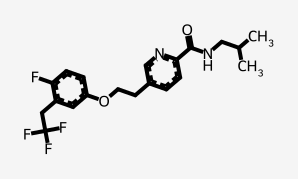 CC(C)CNC(=O)c1ccc(CCOc2ccc(F)c(CC(F)(F)F)c2)cn1